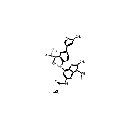 Cc1nc2c(Nc3ccc(-c4cnn(C)c4)cc3N(C)[S+](C)[O-])cc(NC(=O)[C@@H]3C[C@@H]3F)nc2n1PI